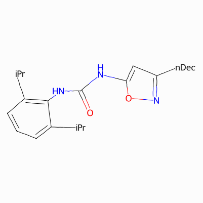 CCCCCCCCCCc1cc(NC(=O)Nc2c(C(C)C)cccc2C(C)C)on1